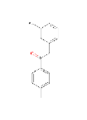 CC(=O)c1cccc(CC(=O)c2ccc(C)cc2)c1